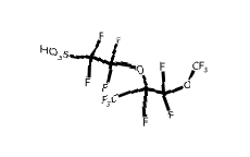 O=S(=O)(O)C(F)(F)C(F)(F)OC(F)(C(F)(F)F)C(F)(F)OC(F)(F)F